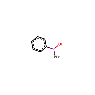 CCCP(O)c1ccccc1